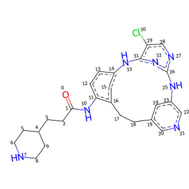 O=C(CCC1CCNCC1)Nc1ccc2cc1CCc1cncc(c1)Nc1ncc(Cl)c(n1)N2